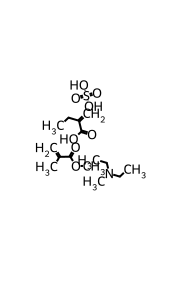 C=C(C)C(=O)OC.C=C(CC)C(=O)O.CCN(C)CC.O=S(=O)(O)O